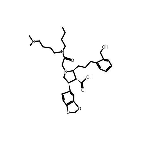 CCCCN(CCCCN(C)C)C(=O)CN1C[C@H](c2ccc3c(c2)OCO3)[C@@H](C(=O)O)[C@@H]1CCCc1ccccc1CO